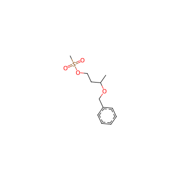 CC(CCOS(C)(=O)=O)OCc1ccccc1